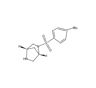 CC(C)(C)c1ccc(S(=O)(=O)N2C[C@@H]3C[C@H]2CN3)cc1